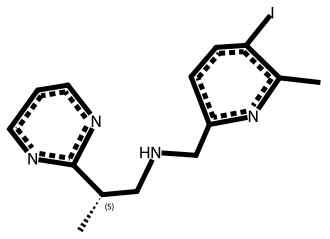 Cc1nc(CNC[C@H](C)c2ncccn2)ccc1I